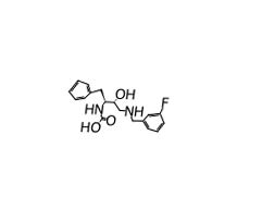 O=C(O)N[C@@H](Cc1ccccc1)[C@H](O)CNCc1cccc(F)c1